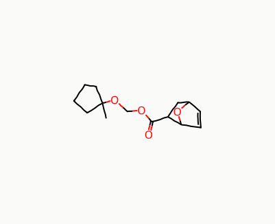 CC1(OCOC(=O)C2CC3C=CC2O3)CCCC1